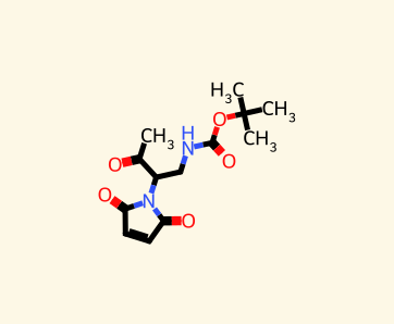 CC(=O)C(CNC(=O)OC(C)(C)C)N1C(=O)C=CC1=O